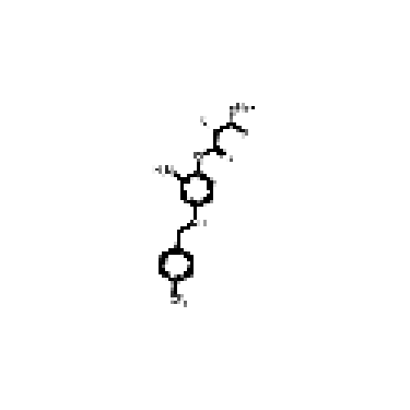 CCCCCC[C@@H](F)[C@@H](F)C(=O)Nc1ccc(NCc2ccc(C(F)(F)F)cc2)cc1N